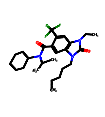 CCCCCn1c(=O)n(CC)c2cc(C(F)(F)F)c(C(=O)N(C(C)C)C3CCCCC3)cc21